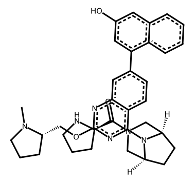 CN1CCC[C@H]1COc1nc(N2[C@@H]3CC[C@H]2CN(C(=O)[C@H]2CCCN2)C3)c2ccc(-c3cc(O)cc4ccccc34)cc2n1